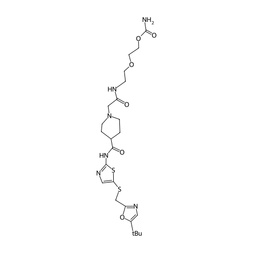 CC(C)(C)c1cnc(CSc2cnc(NC(=O)C3CCN(CC(=O)NCCOCCOC(N)=O)CC3)s2)o1